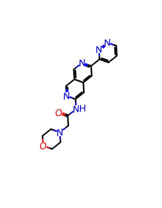 O=C(CN1CCOCC1)Nc1cc2cc(-c3cccnn3)ncc2cn1